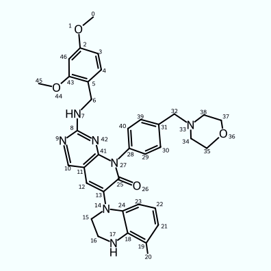 COc1ccc(CNc2ncc3cc(N4CCNc5c(C)cccc54)c(=O)n(-c4ccc(CN5CCOCC5)cc4)c3n2)c(OC)c1